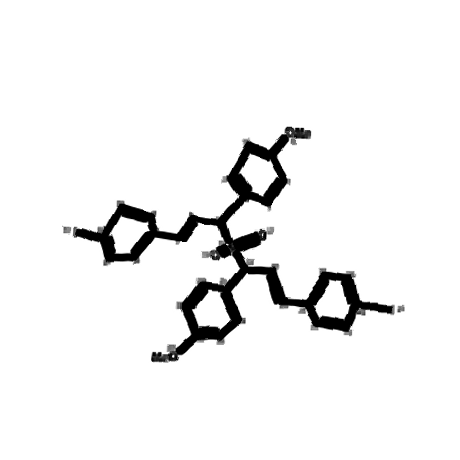 COc1ccc(C(C=Cc2ccc(I)cc2)S(=O)(=O)C(C=Cc2ccc(I)cc2)c2ccc(OC)cc2)cc1